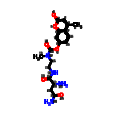 Cc1cc(=O)oc2cc(OC(=O)N(C)CCNC(=O)[C@H](N)CC(N)=O)ccc12